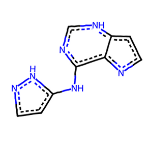 c1cc(Nc2nc[nH]c3ccnc2-3)[nH]n1